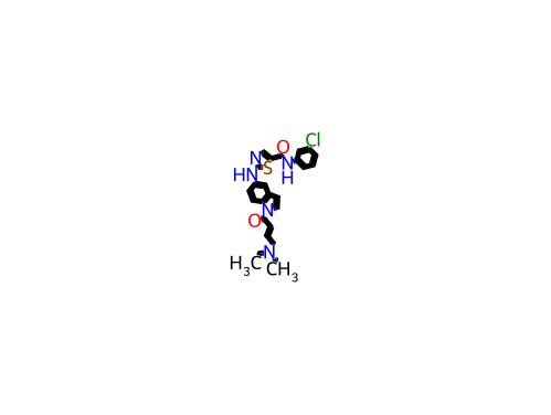 CCN(CC)C/C=C/C(=O)n1ccc2cc(Nc3ncc(C(=O)Nc4cccc(Cl)c4)s3)ccc21